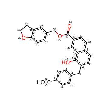 O=C(O)c1ccc(Cc2ccc3ccc(C(=O)OCc4ccc5c(c4)CCO5)cc3c2O)cc1